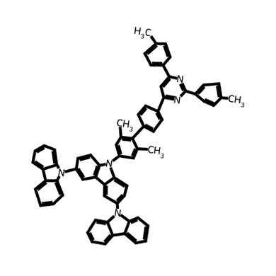 Cc1ccc(-c2cc(-c3ccc(-c4c(C)cc(-n5c6ccc(-n7c8ccccc8c8ccccc87)cc6c6cc(-n7c8ccccc8c8ccccc87)ccc65)cc4C)cc3)nc(-c3ccc(C)cc3)n2)cc1